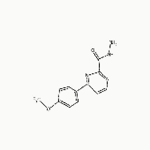 NNC(=O)c1nccc(-c2ccc(OC(F)(F)F)cc2)n1